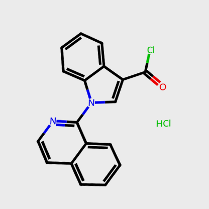 Cl.O=C(Cl)c1cn(-c2nccc3ccccc23)c2ccccc12